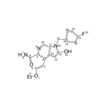 CCOC=Cc1c(C(N)=O)ncc2c1cc(O)n2Cc1ccc(F)cc1